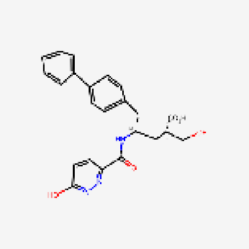 O=C(N[C@H](Cc1ccc(-c2ccccc2)cc1)C[C@@H](CO)C(=O)O)c1ccc(O)nn1